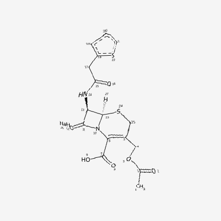 CC(=O)OCC1=C(C(=O)O)N2C(=O)[C@@H](NC(=O)Cc3cccs3)[C@H]2SC1.[NaH]